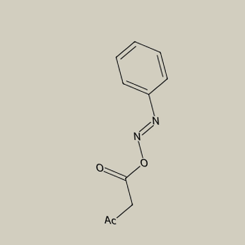 CC(=O)CC(=O)ON=Nc1ccccc1